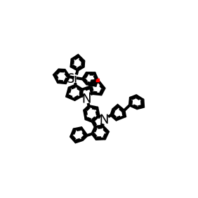 c1ccc(-c2ccc(-n3c4cc(-n5c6ccccc6c6c([Si](c7ccccc7)(c7ccccc7)c7ccccc7)cccc65)ccc4c4c(-c5ccccc5)cccc43)cc2)cc1